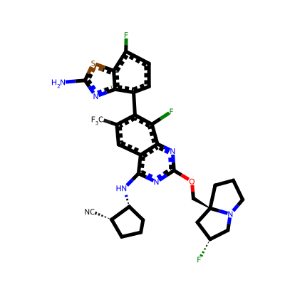 N#C[C@H]1CCC[C@H]1Nc1nc(OC[C@@]23CCCN2C[C@H](F)C3)nc2c(F)c(-c3ccc(F)c4sc(N)nc34)c(C(F)(F)F)cc12